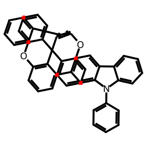 c1ccc(-c2cccc3c2C2(c4ccccc4O3)c3ccccc3Oc3cccc(-c4ccc5c6ccccc6n(-c6ccccc6)c5c4)c32)cc1